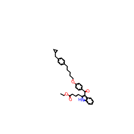 CCOC(=O)CCCc1[nH]c2ccccc2c1C(=O)c1ccc(OCCCCCc2ccc(CC3CC3)cc2)cc1